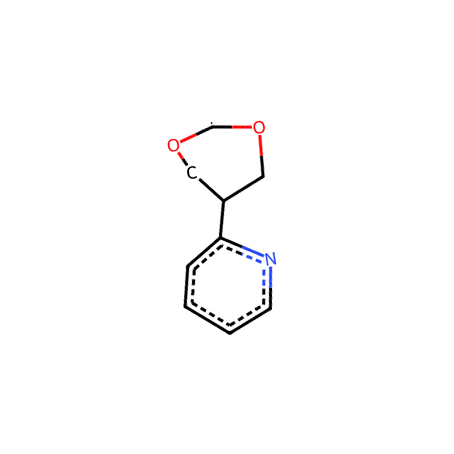 [CH]1OCC(c2ccccn2)CO1